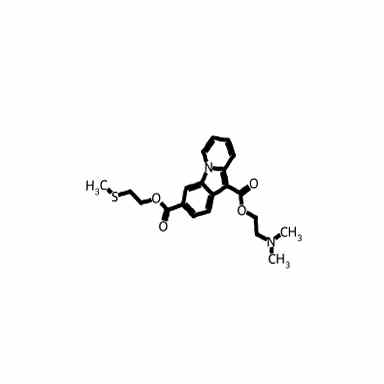 CSCCOC(=O)c1ccc2c(C(=O)OCCN(C)C)c3ccccn3c2c1